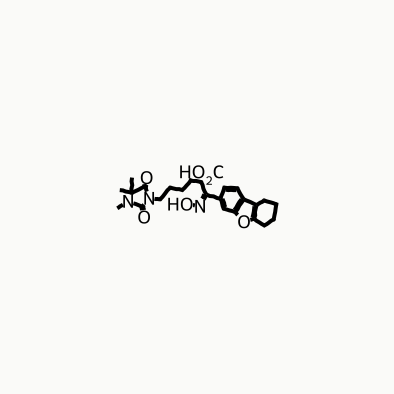 CN1C(=O)N(CCC[C@@H](CC(=NO)c2ccc3c4c(oc3c2)CCCC4)C(=O)O)C(=O)C1(C)C